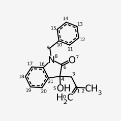 C=C(C)CC1(O)C(=O)N(Cc2ccccc2)c2ccccc21